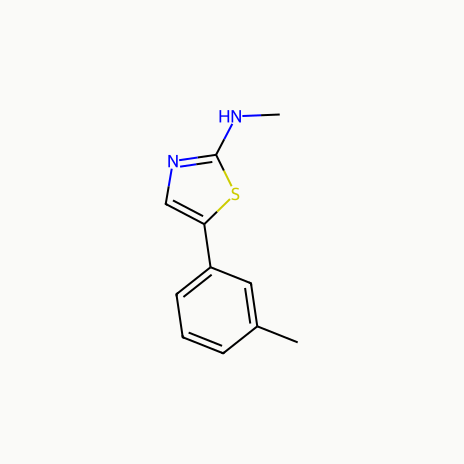 CNc1ncc(-c2cccc(C)c2)s1